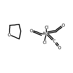 C1CCOC1.O=[C]=[Ru]([Cl])([Cl])(=[C]=O)=[C]=O